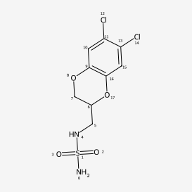 NS(=O)(=O)NCC1COc2cc(Cl)c(Cl)cc2O1